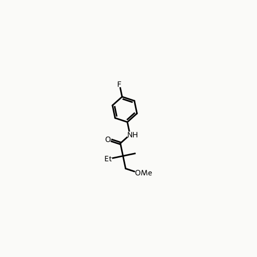 CCC(C)(COC)C(=O)Nc1ccc(F)cc1